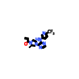 C=CC(=O)N1CCN(c2nccnc2Nc2ccc(C(F)(F)F)nc2)C[C@H]1C